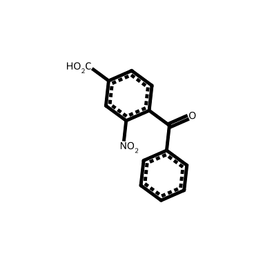 O=C(O)c1ccc(C(=O)c2ccccc2)c([N+](=O)[O-])c1